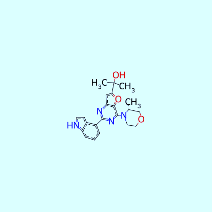 C[C@@H]1COCCN1c1nc(-c2cccc3[nH]ccc23)nc2cc(C(C)(C)O)oc12